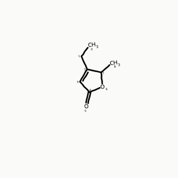 CCC1=CC(=O)OC1C